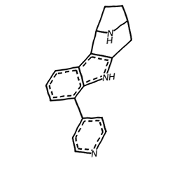 c1cc(-c2ccncc2)c2[nH]c3c(c2c1)C1CCC(C3)N1